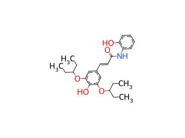 CCC(CC)Oc1cc(C=CC(=O)Nc2ccccc2O)cc(OC(CC)CC)c1O